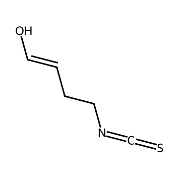 OC=CCCN=C=S